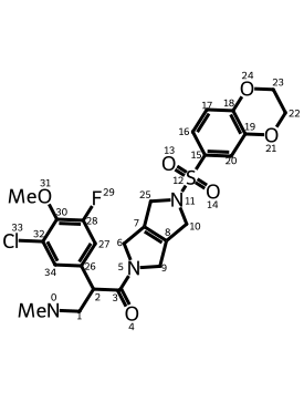 CNCC(C(=O)N1CC2=C(C1)CN(S(=O)(=O)c1ccc3c(c1)OCCO3)C2)c1cc(F)c(OC)c(Cl)c1